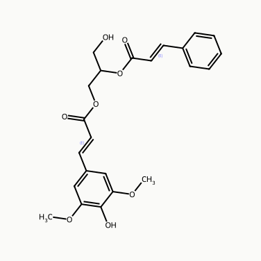 COc1cc(/C=C/C(=O)OCC(CO)OC(=O)/C=C/c2ccccc2)cc(OC)c1O